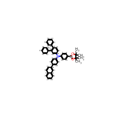 CC1(C)OB(c2ccc(N(c3ccc(-c4ccc5ccccc5c4)cc3)c3ccc(-c4ccccc4)c(-c4ccccc4)c3)cc2)OC1(C)C